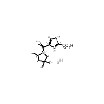 CC1CC(F)(F)CN1C(=O)c1csc(C(=O)O)n1.[LiH]